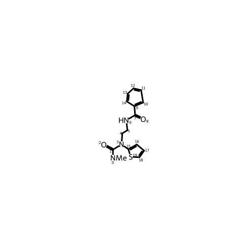 CNC(=O)N(CCNC(=O)c1ccccc1)c1cccs1